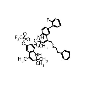 CC1(C)C=C(CSCCc2ccccc2)c2cc(-c3ccccc3F)ccc2N1.CC1=CC(C)(C)Nc2ccc(OS(=O)(=O)C(F)(F)F)cc21